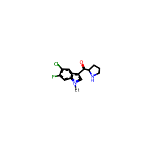 CCn1cc(C(=O)C2CCCN2)c2cc(Cl)c(F)cc21